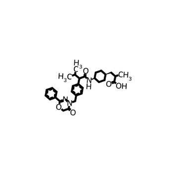 CC(C[C@H]1CC[C@@H](NC(=O)C(c2ccc(CN3N=C(c4ccccc4)OCC3=O)cc2)C(C)C)CC1)C(=O)O